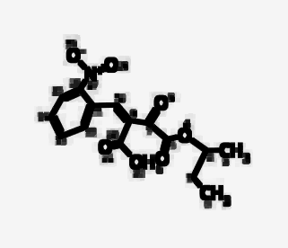 CCC(C)OC(=O)C(=O)C(=Cc1ccccc1[N+](=O)[O-])C(=O)O